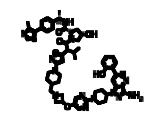 Cc1ncsc1-c1ccc([C@H](C)NC(=O)[C@@H]2C[C@@H](O)CN2C(=O)C(c2cc(N3CCC(CN4CC(Oc5cnc(N6CCC(n7nc(N)c8nnc(-c9ccccc9O)cc87)CC6)nc5)C4)CC3)no2)C(C)C)cc1